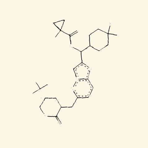 O=C1NC[C@H](C(F)(F)F)CC1Cc1ccc2nc(C(NC(=O)C3(F)CC3)C3CCC(F)(F)CC3)cn2n1